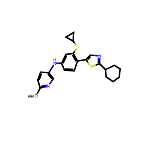 COc1ccc(Nc2ccc(-c3cnc(C4CCCCC4)s3)c(SC3CC3)c2)cn1